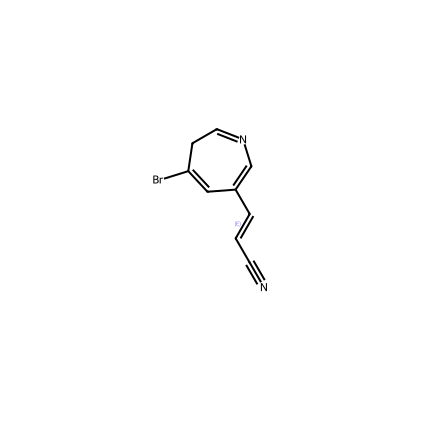 N#C/C=C/C1=CN=CCC(Br)=C1